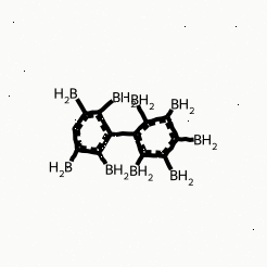 Bc1cc(B)c(B)c(-c2c(B)c(B)c(B)c(B)c2B)c1B